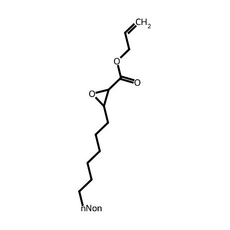 C=CCOC(=O)C1OC1CCCCCCCCCCCCCCC